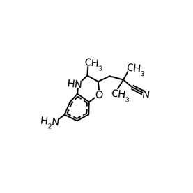 CC1Nc2cc(N)ccc2OC1CC(C)(C)C#N